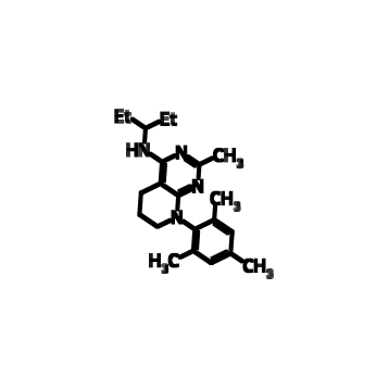 CCC(CC)Nc1nc(C)nc2c1CCCN2c1c(C)cc(C)cc1C